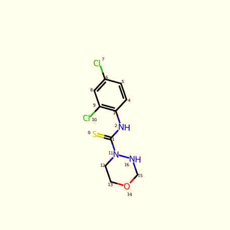 S=C(Nc1ccc(Cl)cc1Cl)N1CCOCN1